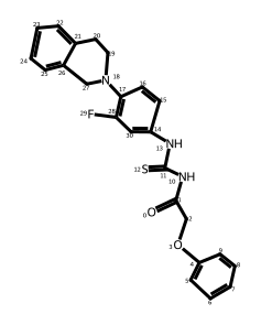 O=C(COc1ccccc1)NC(=S)Nc1ccc(N2CCc3ccccc3C2)c(F)c1